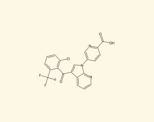 O=C(O)c1ccc(-n2cc(C(=O)c3c(Cl)cccc3C(F)(F)F)c3cccnc32)cn1